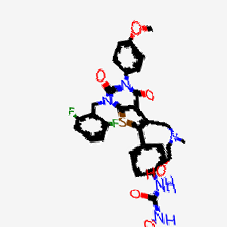 CONC(=O)Nc1ccc(-c2sc3c(c2CN(C)CCO)c(=O)n(-c2ccc(OC)cc2)c(=O)n3Cc2c(F)cccc2F)cc1